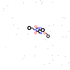 O=c1[nH]c2c(cnc3c(OCC4CCCC4)cccc32)c(=O)n1CCc1ccccc1